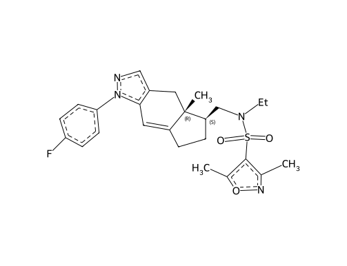 CCN(C[C@H]1CCC2=Cc3c(cnn3-c3ccc(F)cc3)C[C@@]21C)S(=O)(=O)c1c(C)noc1C